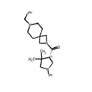 CC(C)CN1CCC2(CC1)CN(C(=O)[C@@H]1CN(C(C)C)CC1(C)C)C2